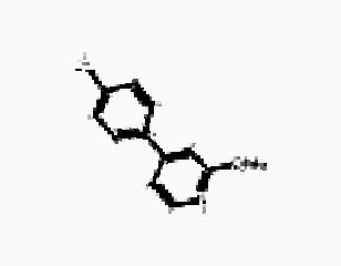 C[CH]c1ccc(-c2ccnc(OC)c2)cc1